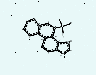 FC(F)(F)c1cc2ccccc2c2ccc3[nH]cnc3c12